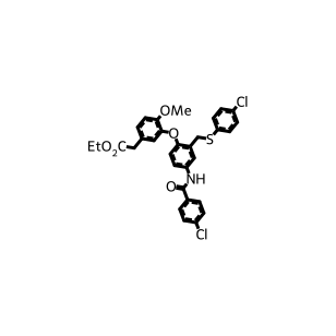 CCOC(=O)Cc1ccc(OC)c(Oc2ccc(NC(=O)c3ccc(Cl)cc3)cc2CSc2ccc(Cl)cc2)c1